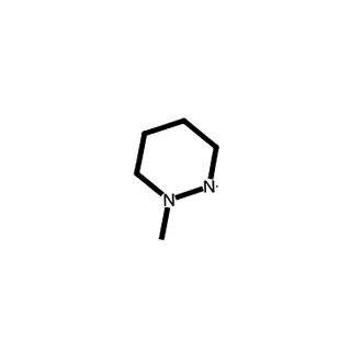 CN1CCCC[N]1